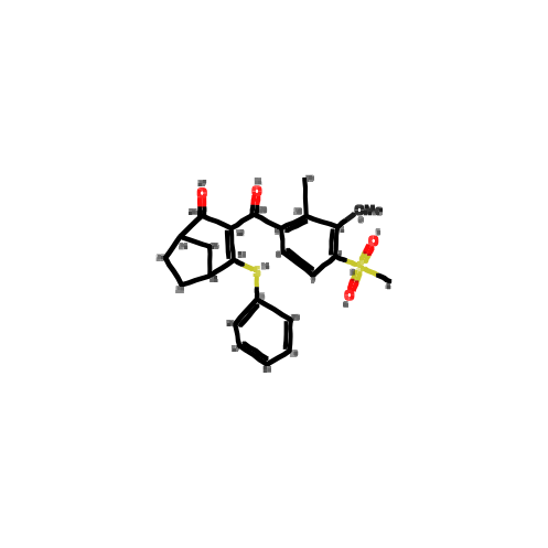 COc1c(S(C)(=O)=O)ccc(C(=O)C2=C(Sc3ccccc3)C3CCC(C3)C2=O)c1C